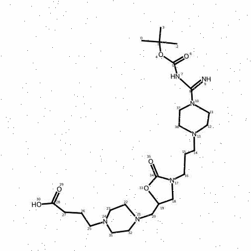 CC(C)(C)OC(=O)NC(=N)N1CCN(CCCN2CC(CN3CCN(CCCC(=O)O)CC3)OC2=O)CC1